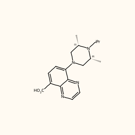 CC(C)N1[C@H](C)CN(c2ccc(C(=O)O)c3nccnc23)C[C@@H]1C